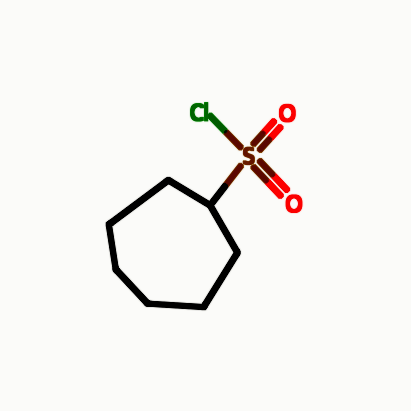 O=S(=O)(Cl)C1CCCCCC1